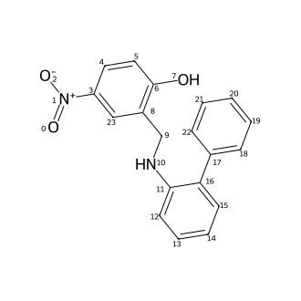 O=[N+]([O-])c1ccc(O)c(CNc2ccccc2-c2ccccc2)c1